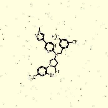 CCC1CC(N(Cc2cc(C(F)(F)F)cc(C(F)(F)F)c2)c2ncc(-c3cnn(C)c3)cn2)CN1c1ccc(C(F)(F)F)cc1Br